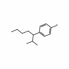 CCCC[C](c1ccc(F)cc1)C(C)C